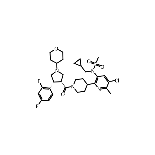 Cc1nc(C2CCN(C(=O)[C@H]3CN(C4CCOCC4)C[C@H]3c3ccc(F)cc3F)CC2)c(N(CC2CC2)S(C)(=O)=O)cc1Cl